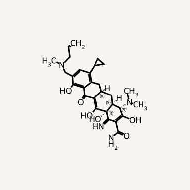 C=CCN(C)Cc1cc(C2CC2)c2c(c1O)C(=O)C1=C(O)[C@]3(O)C(=N)C(C(N)=O)=C(O)[C@@H](N(C)C)[C@@H]3C[C@@H]1C2